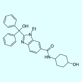 CCn1c(C(O)(c2ccccc2)c2ccccc2)nc2ccc(C(=O)NC3CCC(O)CC3)cc21